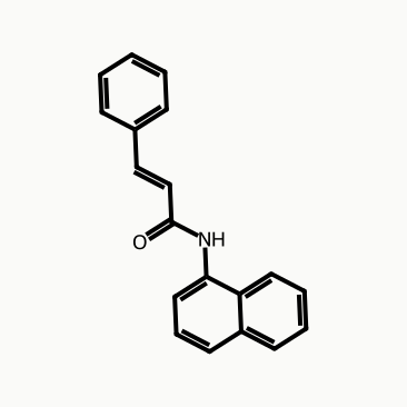 O=C(C=Cc1ccccc1)Nc1cccc2ccccc12